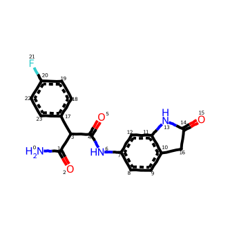 NC(=O)C(C(=O)Nc1ccc2c(c1)NC(=O)C2)c1ccc(F)cc1